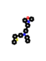 c1ccc2c(c1)Oc1cccc3c4cc(-c5ccc(N(c6ccc(-c7cccc8c7sc7ccccc78)cc6)c6ccc7ccccc7c6)cc5)ccc4n-2c13